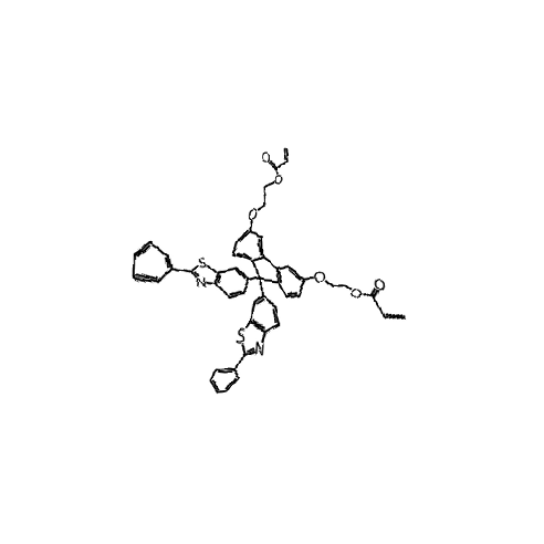 C=CC(=O)OCCOc1ccc2c(c1)-c1cc(OCCOC(=O)C=C)ccc1C2(c1ccc2nc(-c3ccccc3)sc2c1)c1ccc2nc(-c3ccccc3)sc2c1